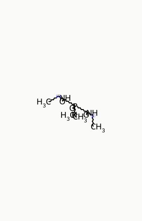 CCCCCC/C=C\CNC(=O)CCCCCCCP(CCCCCCCC(=O)NC/C=C\CCCCCC)C(=O)CCCN(C)C